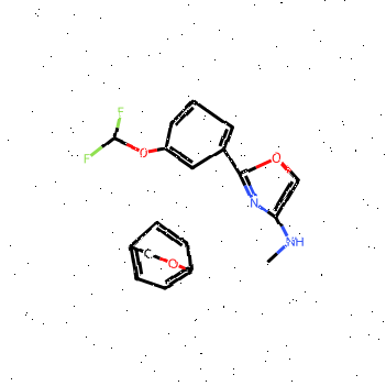 CNc1coc(-c2cccc(OC(F)F)c2)n1.c1cc2ccc1CO2